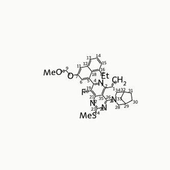 C=Cc1nc(-c2cc(OCOC)cc3cccc(CC)c23)c(F)c2nc(SC)nc(N3CC4CCC(C4)C3)c12